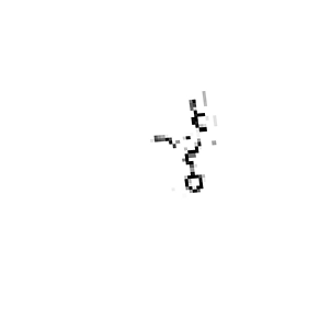 COc1cc(-c2cc3c(s2)c(=O)n(-c2cncc(CO)c2)c(=O)n3CCC#N)c(Cl)cc1F